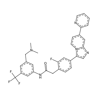 CN(C)Cc1cc(NC(=O)Cc2ccc(-c3cnc4cc(-c5ccccn5)ccn34)cc2F)cc(C(F)(F)F)c1